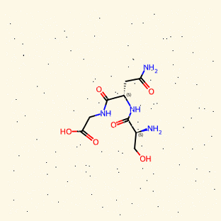 NC(=O)C[C@H](NC(=O)[C@@H](N)CO)C(=O)NCC(=O)O